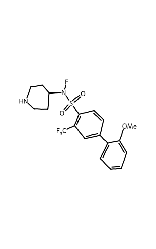 COc1ccccc1-c1ccc(S(=O)(=O)N(F)C2CCNCC2)c(C(F)(F)F)c1